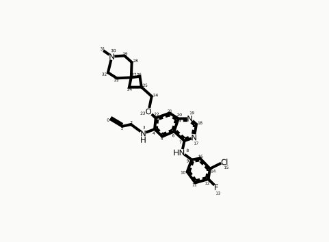 C=CCNc1cc2c(Nc3ccc(F)c(Cl)c3)ncnc2cc1OCC1CC2(CCN(C)CC2)C1